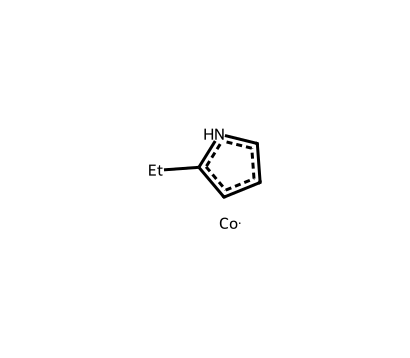 CCc1ccc[nH]1.[Co]